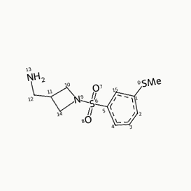 CSc1cccc(S(=O)(=O)N2CC(CN)C2)c1